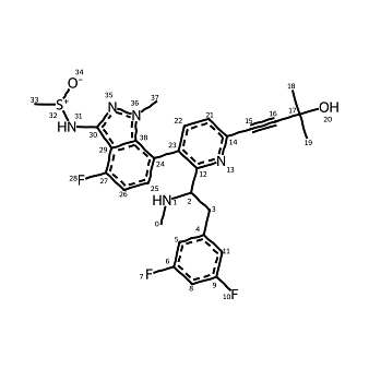 CNC(Cc1cc(F)cc(F)c1)c1nc(C#CC(C)(C)O)ccc1-c1ccc(F)c2c(N[S+](C)[O-])nn(C)c12